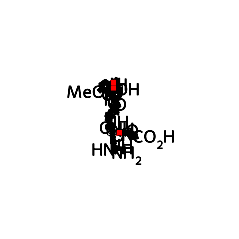 COc1ccc2c3c1O[C@H]1C(OC(=O)N(C)CC(C)(C)CNC(=O)[C@H](CCCNC(=N)N)NC(=O)CNC(=O)CC(=O)O)=CC[C@@]4(O)[C@@H](C2)N(C)CC[C@]314